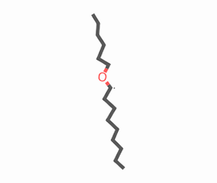 CCCCCCCC[CH]OCCCCCC